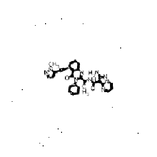 CC(NC(=O)c1c(N)nn2cccnc12)c1nc2cccc(C#Cc3ccnn3C)c2c(=O)n1-c1ccccc1